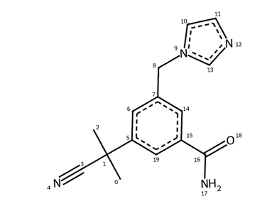 CC(C)(C#N)c1cc(Cn2ccnc2)cc(C(N)=O)c1